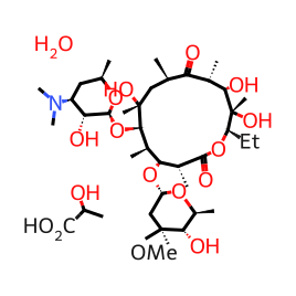 CC(O)C(=O)O.CC[C@H]1OC(=O)[C@H](C)[C@@H](O[C@H]2C[C@@](C)(OC)[C@@H](O)[C@H](C)O2)[C@@H](C)[C@@H](O[C@@H]2O[C@H](C)C[C@H](N(C)C)[C@H]2O)[C@](C)(O)C[C@@H](C)C(=O)[C@H](C)[C@H](O)[C@]1(C)O.O